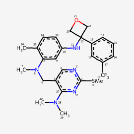 CSc1ncc(CN(C)c2cc(NC3(c4cccc(C(F)(F)F)c4)COC3)ccc2C)c(N(C)C)n1